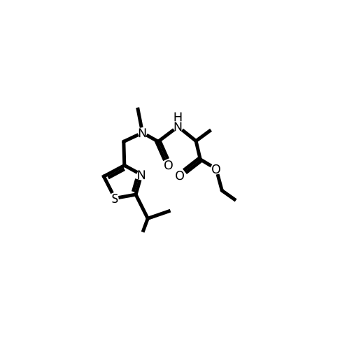 CCOC(=O)C(C)NC(=O)N(C)Cc1csc(C(C)C)n1